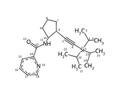 CC(C)[Si](C#CC1CCCC1NC(=O)c1ccccn1)(C(C)C)C(C)C